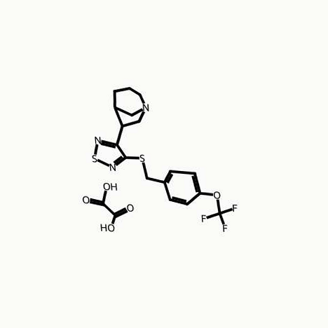 FC(F)(F)Oc1ccc(CSc2nsnc2C2CN3CCCC2C3)cc1.O=C(O)C(=O)O